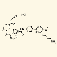 COC(=O)[C@H](CCCCN)NC(=O)c1ccc(NC(=O)n2ccc3c(N(C)[C@H]4CN(C(=O)CC#N)CC[C@H]4C)ncnc32)cc1.Cl